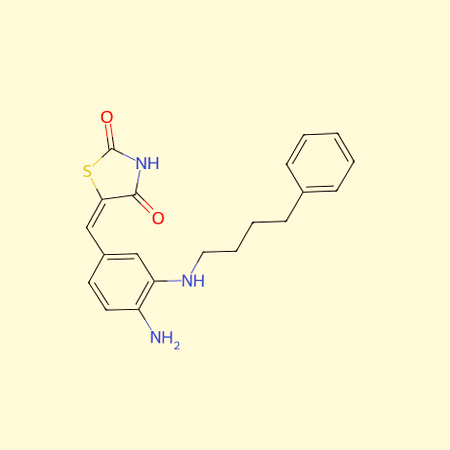 Nc1ccc(C=C2SC(=O)NC2=O)cc1NCCCCc1ccccc1